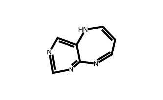 C1=CNc2cncnc2N=C1